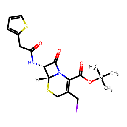 C[Si](C)(C)OC(=O)C1=C(CI)CS[C@@H]2[C@H](NC(=O)Cc3cccs3)C(=O)N12